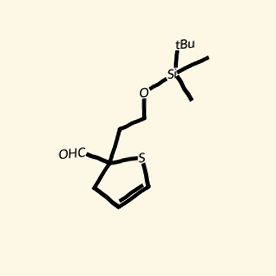 CC(C)(C)[Si](C)(C)OCCC1(C=O)CC=CS1